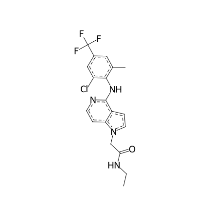 CCNC(=O)Cn1ccc2c(Nc3c(C)cc(C(F)(F)F)cc3Cl)nccc21